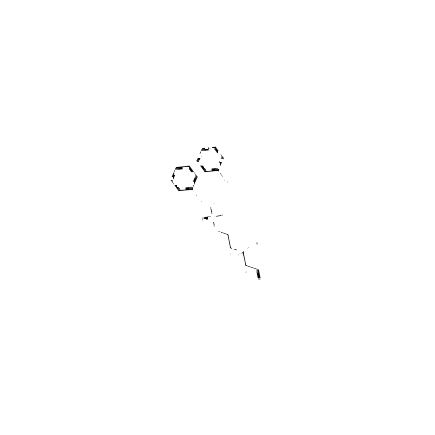 Nc1ccccc1.Nc1ccccc1.O=C[C@H](O)[C@H](O)[C@H](O)COP(=O)(O)O